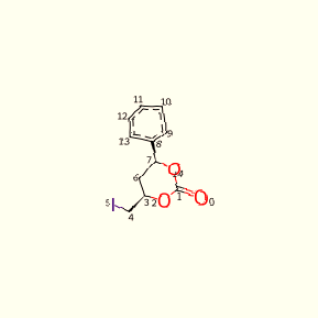 O=C1O[C@@H](CI)C[C@@H](c2ccccc2)O1